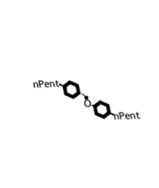 CCCCC[C@H]1CC[C@H](CO[C@H]2CC[C@H](CCCCC)CC2)CC1